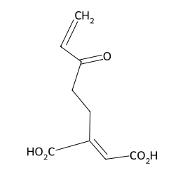 C=CC(=O)CCC(=CC(=O)O)C(=O)O